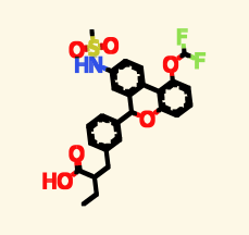 CCC(Cc1cccc(C2Oc3cccc(OC(F)F)c3-c3ccc(NS(C)(=O)=O)cc32)c1)C(=O)O